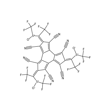 N#CC1=c2c3c(c4c(c2=C(C#N)C1=C([S+]([O-])C(F)(F)F)C(F)(F)F)=C(C#N)C(=C([S+]([O-])C(F)(F)F)C(F)(F)F)C=4C#N)=C(C#N)C(=C([S+]([O-])C(F)(F)F)C(F)(F)F)C=3C#N